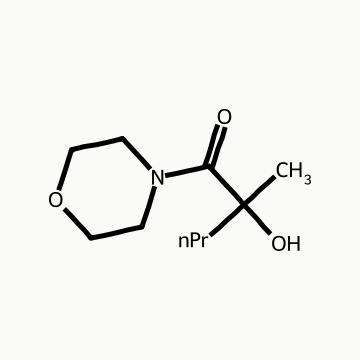 CCCC(C)(O)C(=O)N1CCOCC1